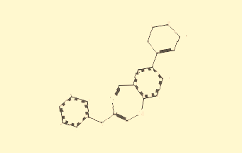 C1=NC(Cc2ccccc2)=CNc2ccc(C3=CCCCC3)cc21